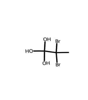 CC(Br)(Br)C(O)(O)O